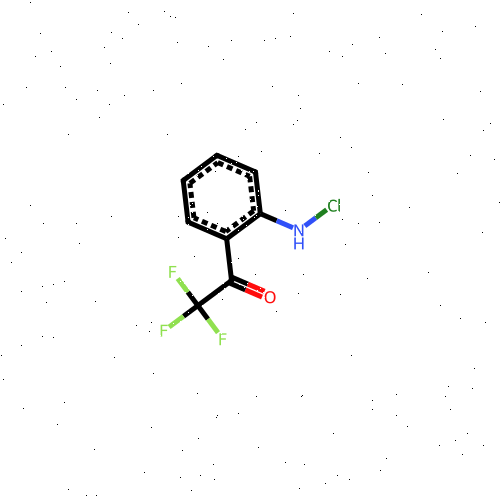 O=C(c1ccccc1NCl)C(F)(F)F